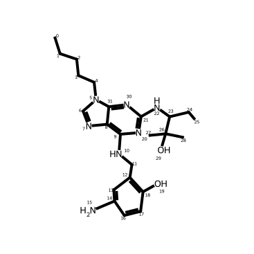 CCCCCn1cnc2c(NCc3cc(N)ccc3O)nc(NC(CC)C(C)(C)O)nc21